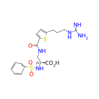 N=C(N)NCCCc1ccc(C(=O)NC[C@H](NS(=O)(=O)c2ccccc2)C(=O)O)s1